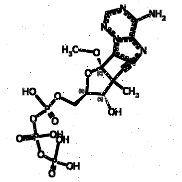 CO[C@@]1(c2cnc3c(N)ncnn23)O[C@H](COP(=O)(O)OP(=O)(O)OP(=O)(O)O)[C@@H](O)C1(C)C#N